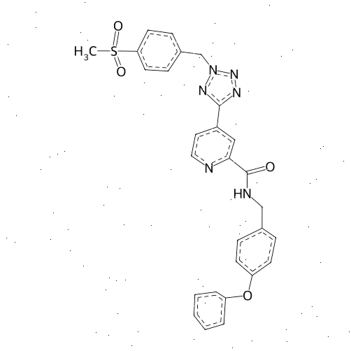 CS(=O)(=O)c1ccc(Cn2nnc(-c3ccnc(C(=O)NCc4ccc(Oc5ccccc5)cc4)c3)n2)cc1